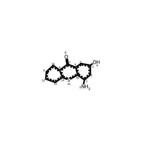 Nc1cc(O)cc2c(=O)c3ccccc3sc12